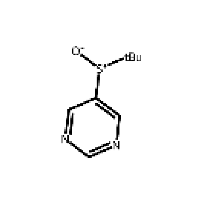 CC(C)(C)[S+]([O-])c1cncnc1